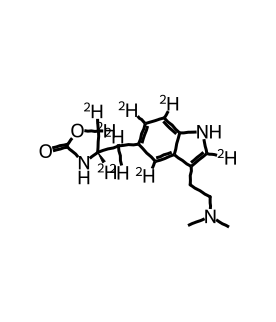 [2H]c1[nH]c2c([2H])c([2H])c(C([2H])([2H])[C@]3([2H])NC(=O)OC3([2H])[2H])c([2H])c2c1CCN(C)C